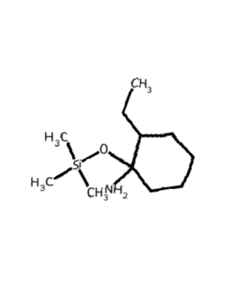 CCC1CCCCC1(N)O[Si](C)(C)C